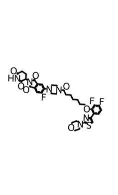 O=C1CCC(N2C(=O)c3cc(F)c(N4CCN(C(=O)CCCCCCOc5c(-c6csc(N7CCOCC7)n6)ccc(F)c5F)CC4)cc3C2=O)C(=O)N1